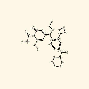 CCCN(c1cc(OC)n(C(=O)NC)c(=N)c1)c1ncc(C(=O)N2CCCCC2)cc1C1CCC1